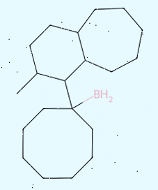 BC1(C2C(C)CCC3CCCCCC32)CCCCCCC1